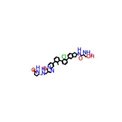 Cc1c(-c2ccn3c(=O)c(CNC[C@@H]4CCC(=O)N4)cnc3c2)cccc1-c1cccc(-c2ccc3c(c2)CC(NC(=O)C(N)CO)C3)c1Cl